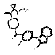 Cc1cc2ccccc2n1-c1ccc(C(=O)N2CCN(C(=O)C3(NC(=O)O)CC3)CC2)c(F)c1